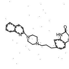 O=C1COc2ccc(CCCN3CCN(c4ccc5ccccc5n4)CC3)cc2N1